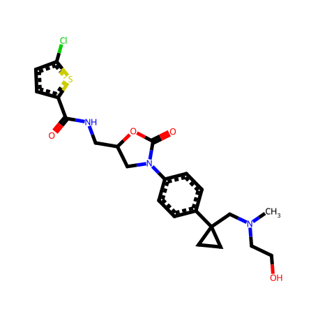 CN(CCO)CC1(c2ccc(N3CC(CNC(=O)c4ccc(Cl)s4)OC3=O)cc2)CC1